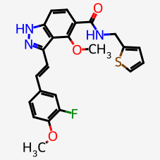 COc1ccc(/C=C/c2n[nH]c3ccc(C(=O)NCc4cccs4)c(OC)c23)cc1F